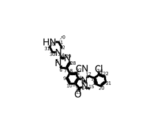 C[C@@H]1CN(c2ncc(-c3ccc4c(=O)n(C)n(Cc5ccccc5Cl)c4c3C#N)cn2)CCN1